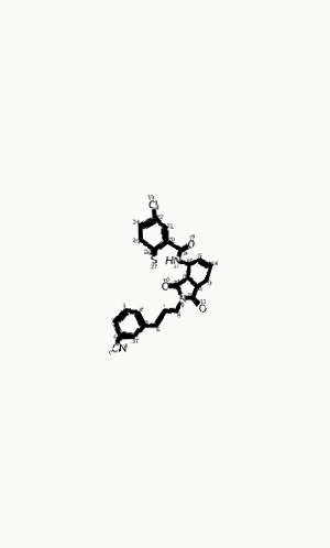 N#Cc1cccc(C=CCN2C(=O)C3CC=CC(NC(=O)C4=CC(Cl)=CCC4=S)C3C2=O)c1